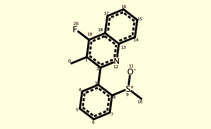 Cc1c(-c2ccccc2[S+](C)[O-])nc2ccccc2c1F